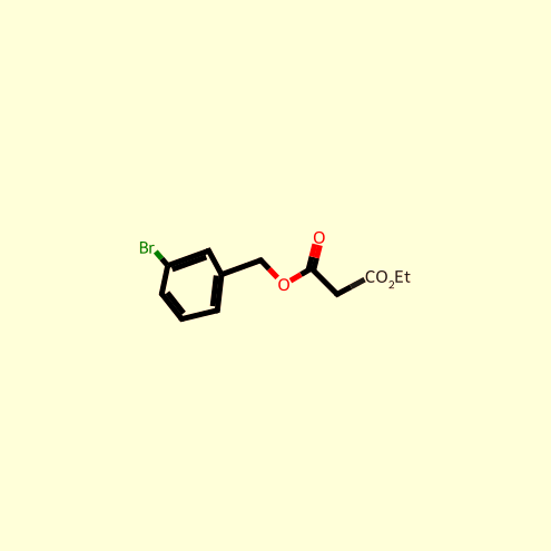 CCOC(=O)CC(=O)OCc1cccc(Br)c1